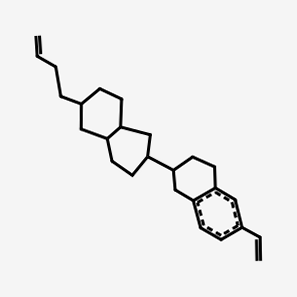 C=CCCC1CCC2CC(C3CCc4cc(C=C)ccc4C3)CCC2C1